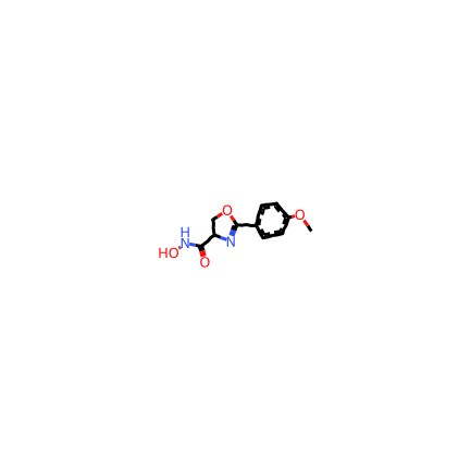 COc1ccc(C2=NC(C(=O)NO)CO2)cc1